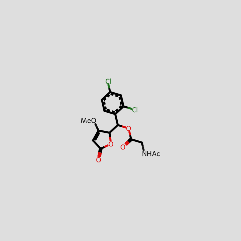 COC1=CC(=O)OC1C(OC(=O)CNC(C)=O)c1ccc(Cl)cc1Cl